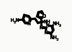 NC1=CC(N)=NC2=NC(CCc3ccc(N)cn3)(c3ccco3)NN12